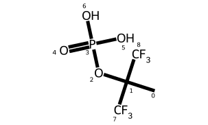 CC(OP(=O)(O)O)(C(F)(F)F)C(F)(F)F